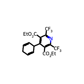 CCOC(=O)c1c(C(F)(F)F)nc(C(F)(F)F)c(C(=O)OCC)c1C1C=CCC=C1